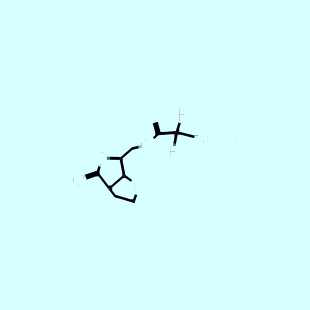 O=C1OC(COC(=O)C(F)(F)S(=O)(=O)O)C2OCCC12